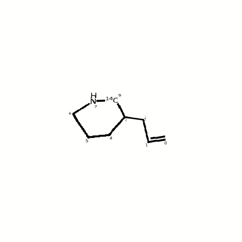 C=C[CH]C1CCCN[14CH2]1